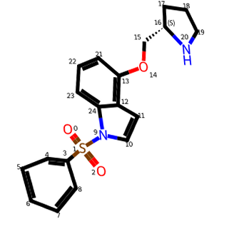 O=S(=O)(c1ccccc1)n1ccc2c(OC[C@@H]3CCCN3)cccc21